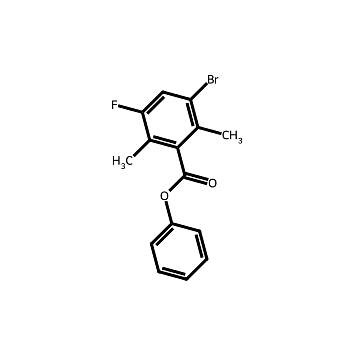 Cc1c(F)cc(Br)c(C)c1C(=O)Oc1ccccc1